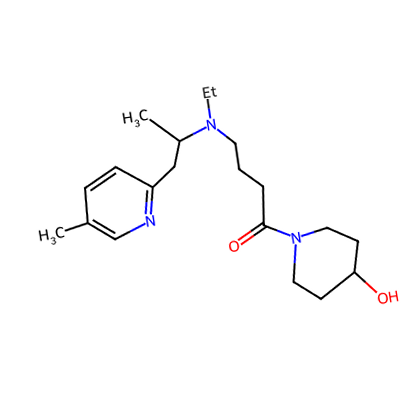 CCN(CCCC(=O)N1CCC(O)CC1)C(C)Cc1ccc(C)cn1